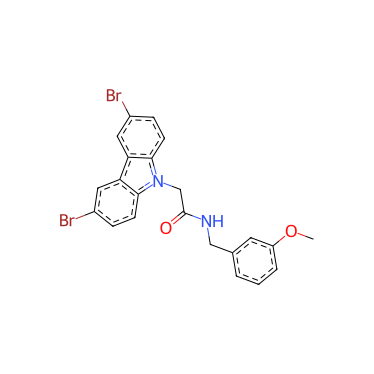 COc1cccc(CNC(=O)Cn2c3ccc(Br)cc3c3cc(Br)ccc32)c1